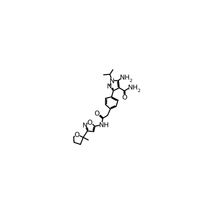 CC(C)n1nc(-c2ccc(CC(=O)Nc3cc(C4(C)CCCO4)no3)cc2)c(C(N)=O)c1N